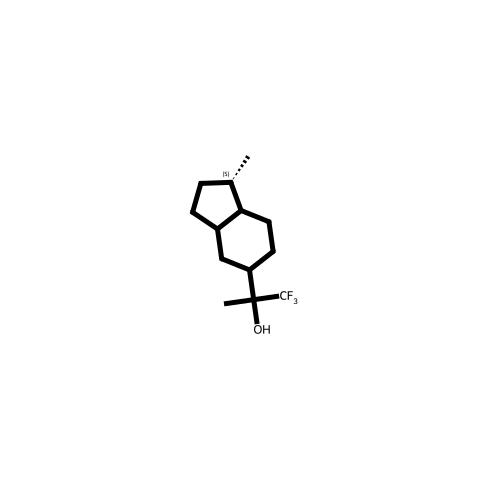 C[C@H]1CCC2CC(C(C)(O)C(F)(F)F)CCC21